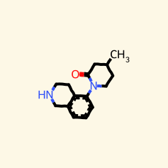 CC1CCN(c2cccc3c2CCNC3)C(=O)C1